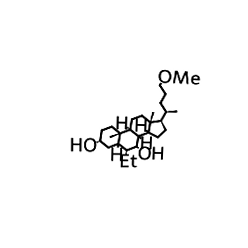 CC[C@H]1[C@@H](O)[C@@H]2[C@H](CC[C@]3(C)[C@@H]([C@H](C)CCCOC)CC[C@@H]23)[C@@]2(C)CC[C@@H](O)C[C@@H]12